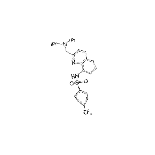 CC(C)N(Cc1ccc2cccc(NS(=O)(=O)c3ccc(C(F)(F)F)cc3)c2n1)C(C)C